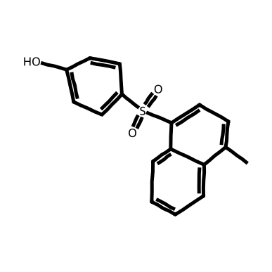 Cc1ccc(S(=O)(=O)c2ccc(O)cc2)c2ccccc12